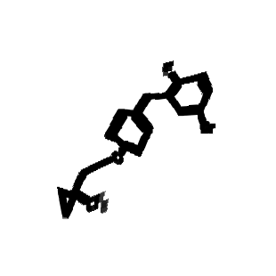 Fc1ccc(Br)cc1Cc1ccc(OCC2(C(F)(F)F)CC2)cc1